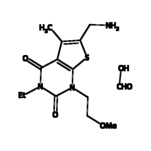 CCn1c(=O)c2c(C)c(CN)sc2n(CCOC)c1=O.O=CO